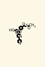 CC(=O)SCC(=O)c1ccc(N(CCO)S(=O)(=O)c2ccc(-c3ccncc3)nc2)cc1